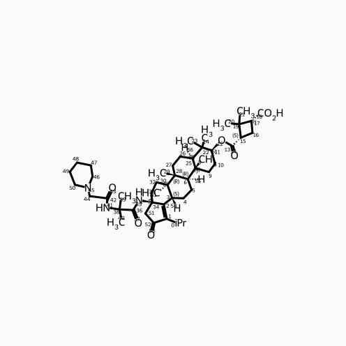 CC(C)C1=C2[C@H]3CC[C@@H]4[C@@]5(C)CC[C@H](OC(=O)[C@H]6C[C@@H](C(=O)O)C6(C)C)C(C)(C)[C@@H]5CC[C@@]4(C)[C@]3(C)CC[C@@]2(NC(=O)C(C)(C)NC(=O)CN2CCCCC2)CC1=O